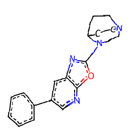 c1ccc(-c2cnc3oc(N4CCN5CCC4CC5)nc3c2)cc1